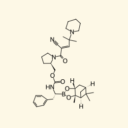 CC1(C)[C@@H]2C[C@H]3OB([C@H](Cc4ccccc4)NC(=O)OC[C@H]4CCCN4C(=O)C(C#N)=CC(C)(C)N4CCCCC4)O[C@@]3(C)[C@H]1C2